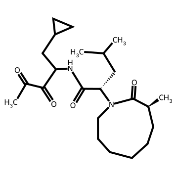 CC(=O)C(=O)C(CC1CC1)NC(=O)[C@H](CC(C)C)N1CCCCCC[C@H](C)C1=O